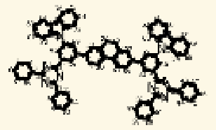 c1ccc(-c2nc(-c3ccccc3)nc(-c3cc(-c4ccc5c(c4)CCc4cc(-c6cc(-c7nc(-c8ccccc8)nc(-c8ccccc8)n7)cc(-n7c8ccccc8c8ccccc87)c6)ccc4-5)cc(-n4c5ccccc5c5ccccc54)c3)n2)cc1